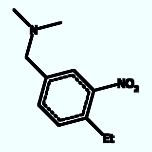 CCc1ccc(CN(C)C)cc1[N+](=O)[O-]